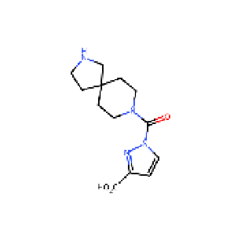 O=C(O)c1ccn(C(=O)N2CCC3(CCNC3)CC2)n1